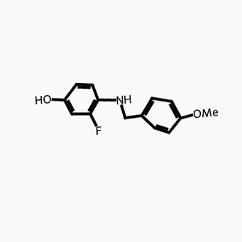 COc1ccc(CNc2ccc(O)cc2F)cc1